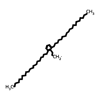 [CH2]CCc1c(CCCCCCCCCCCCCCCCCCCC)cccc1CCCCCCCCCCCCCCCCCCCC